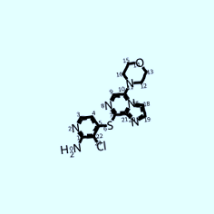 Nc1nccc(Sc2ncc(N3CCOCC3)n3ccnc23)c1Cl